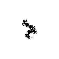 CCN(CC)C(=O)c1ccc(N2CCN(C(=O)c3cc(-n4cc(-c5cncc(O)c5)cn4)cc(C(F)(F)F)c3)CC2)nn1